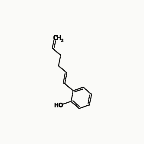 C=CCCC=Cc1ccccc1O